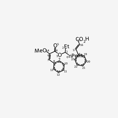 CCCCCC(CC)OC(=O)C(=Cc1ccccc1)OC.O=C(O)C=Cc1ccccc1